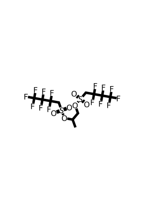 CC(COS(=O)(=O)CC(F)(F)C(F)(F)C(F)(F)F)OS(=O)(=O)CC(F)(F)C(F)(F)C(F)(F)F